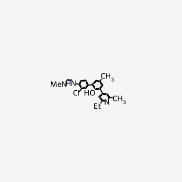 CCc1cc(-c2cc(C)cc(-c3ccc(N/C=C\NC)c(Cl)c3)c2O)cc(C)n1